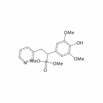 COc1cc(C(Cc2cccnc2)P(=O)(OC)OC)cc(OC)c1O